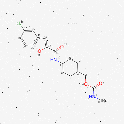 CC(C)(C)NC(=O)OCC1CCC(NC(=O)c2cc3cc(Cl)ccc3o2)CC1